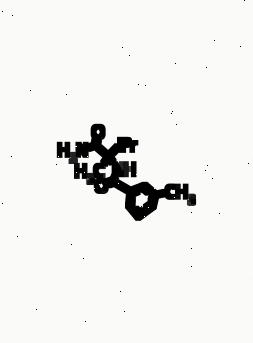 Cc1cccc(C(=O)NC(C)(C(N)=O)C(C)C)c1